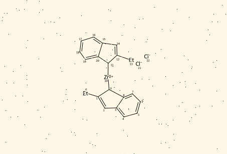 CCC1=Cc2ccccc2[CH]1[Zr+2][CH]1C(CC)=Cc2ccccc21.[Cl-].[Cl-]